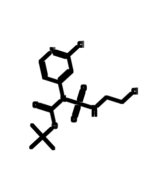 CC(C)(C)OC(=O)N(c1ccnc(Cl)c1)S(=O)(=O)NCCCl